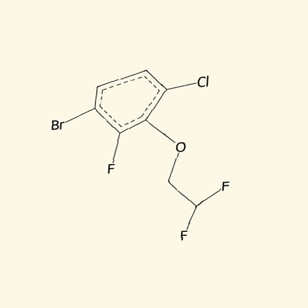 Fc1c(Br)ccc(Cl)c1OCC(F)F